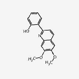 COc1cc2ccc(-c3ccccc3O)nc2cc1OC